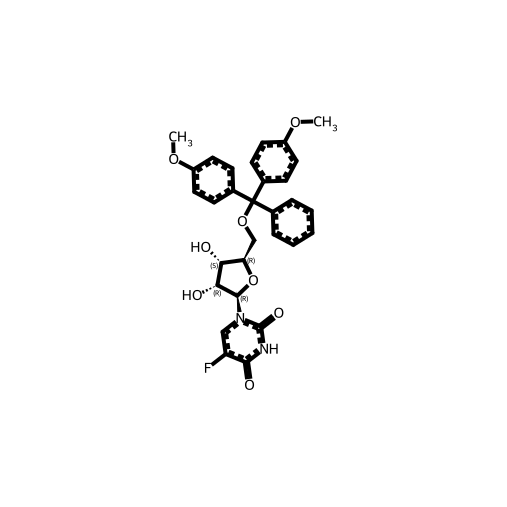 COc1ccc(C(OC[C@H]2O[C@@H](n3cc(F)c(=O)[nH]c3=O)[C@H](O)[C@@H]2O)(c2ccccc2)c2ccc(OC)cc2)cc1